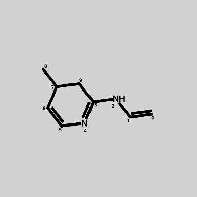 C=CNC1=NC=CC(C)C1